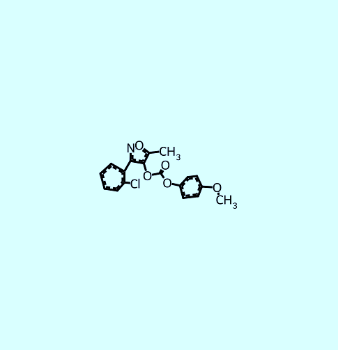 COc1ccc(OC(=O)Oc2c(-c3ccccc3Cl)noc2C)cc1